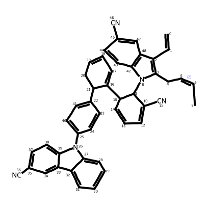 C=Cc1c(C/C=C\C)n(C2C(C#N)=CC=CC2C2=CC=CCC2c2ccc(-n3c4ccccc4c4cc(C#N)ccc43)cc2)c2ccc(C#N)cc12